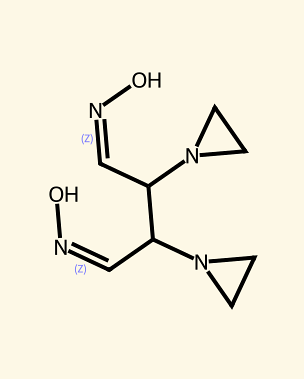 O/N=C\C(C(/C=N\O)N1CC1)N1CC1